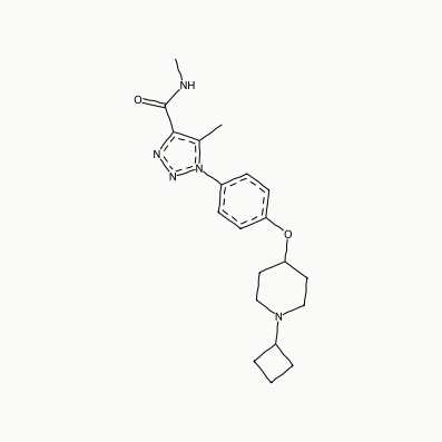 CNC(=O)c1nnn(-c2ccc(OC3CCN(C4CCC4)CC3)cc2)c1C